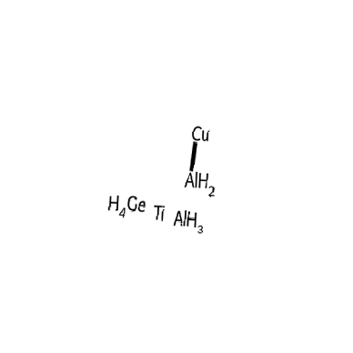 [AlH2][Cu].[AlH3].[GeH4].[Ti]